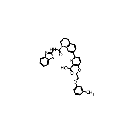 Cc1cccc(OCCOc2ccc(-c3ccc4c(c3)N(C(=O)Nc3nc5ccccc5s3)CCC4)nc2C(=O)O)c1